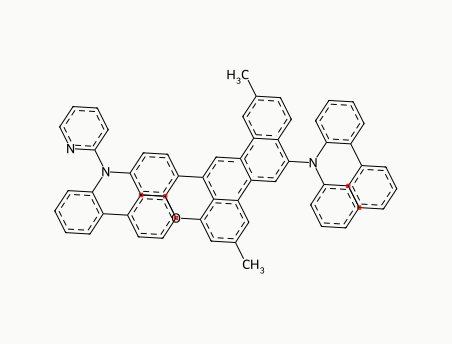 Cc1ccc2c(N(c3ccccc3)c3ccccc3-c3ccccc3)cc3c4cc(C)cc5c4c(cc3c2c1)-c1ccc(N(c2ccccn2)c2ccccc2-c2ccccc2)cc1O5